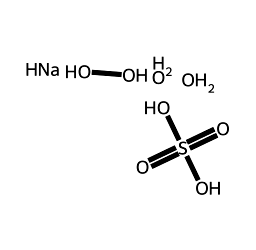 O.O.O=S(=O)(O)O.OO.[NaH]